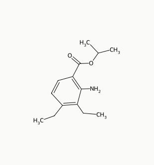 CCc1ccc(C(=O)OC(C)C)c(N)c1CC